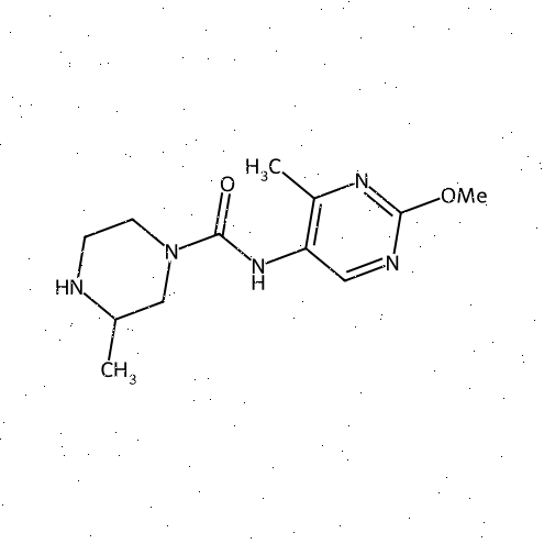 COc1ncc(NC(=O)N2CCNC(C)C2)c(C)n1